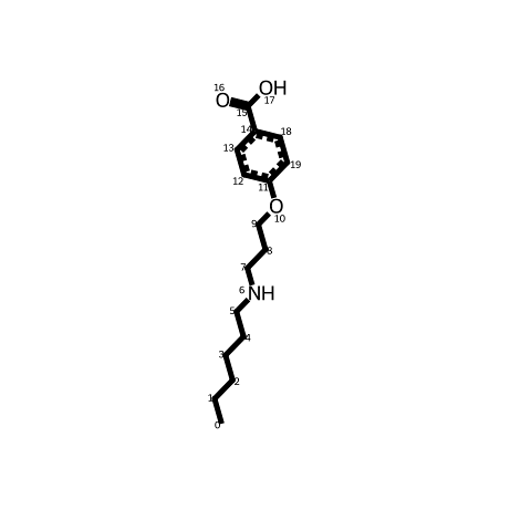 CCCCCCNCCCOc1ccc(C(=O)O)cc1